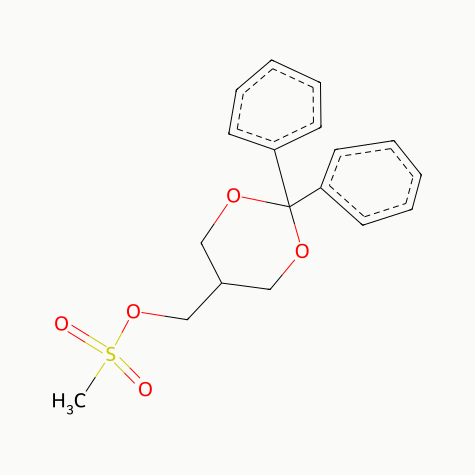 CS(=O)(=O)OCC1COC(c2ccccc2)(c2ccccc2)OC1